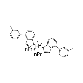 CCC[C](CCC)=[Hf]([CH3])([CH3])([CH]1C=Cc2c(-c3cccc(C)c3)cccc21)[CH]1C=Cc2c(-c3cccc(C)c3)cccc21